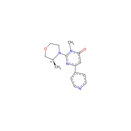 C[C@H]1COCCN1c1nc(-c2ccncc2)cc(=O)n1C